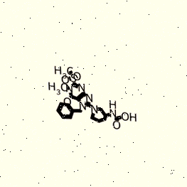 Cn1c(S(C)(=O)=O)nc2nc(N3CCCC(NC(=O)O)C3)n(Cc3ccccc3)c2c1=O